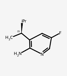 CC(C)[C@H](C)c1cc(F)cnc1N